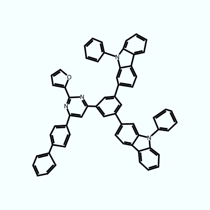 c1ccc(-c2ccc(-c3cc(-c4cc(-c5ccc6c7ccccc7n(-c7ccccc7)c6c5)cc(-c5ccc6c7ccccc7n(-c7ccccc7)c6c5)c4)nc(-c4ccco4)n3)cc2)cc1